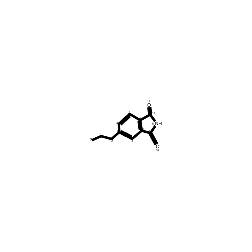 [CH2]CCc1ccc2c(c1)C(=O)NC2=O